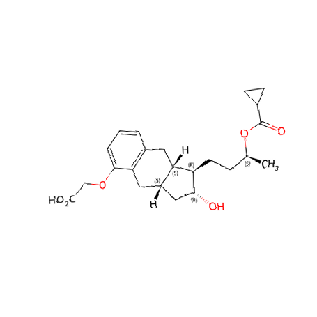 C[C@@H](CC[C@@H]1[C@H]2Cc3cccc(OCC(=O)O)c3C[C@H]2C[C@H]1O)OC(=O)C1CC1